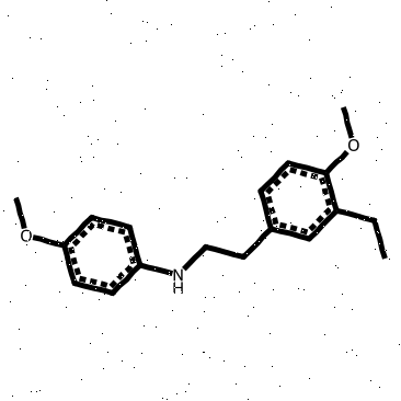 CCc1cc(CCNc2ccc(OC)cc2)ccc1OC